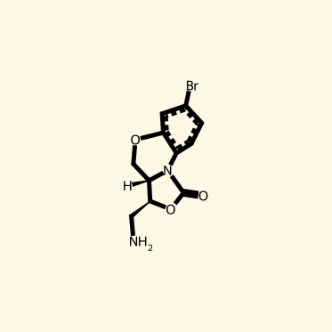 NC[C@@H]1OC(=O)N2c3ccc(Br)cc3OC[C@@H]12